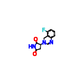 O=C1CC(N2C=Nc3cccc(F)c3C2)C(=O)N1